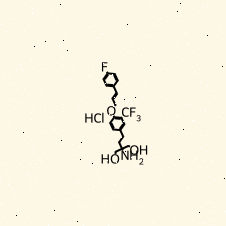 Cl.NC(CO)(CO)CCc1ccc(OCC=Cc2ccc(F)cc2)c(C(F)(F)F)c1